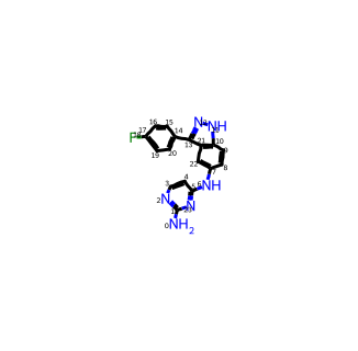 Nc1nccc(Nc2ccc3[nH]nc(-c4ccc(F)cc4)c3c2)n1